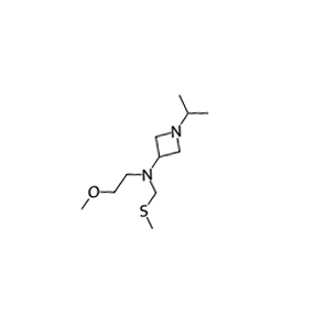 COCCN(CSC)C1CN(C(C)C)C1